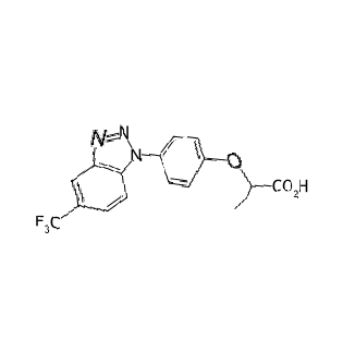 CC(Oc1ccc(-n2nnc3cc(C(F)(F)F)ccc32)cc1)C(=O)O